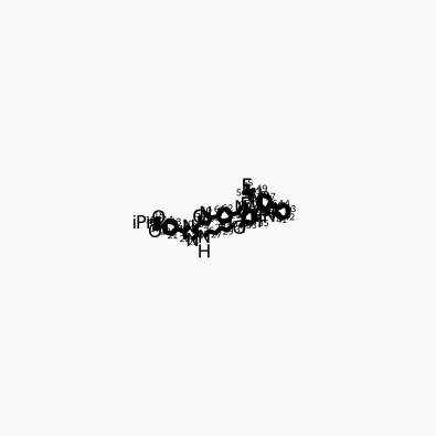 CNCc1ccc(-c2cc(-c3nc(-c4ccc(S(=O)(=O)C(C)C)cc4)cnc3NCCCCCOc3cc(F)c([C@@H]4c5[nH]c6ccccc6c5C[C@@H](C)N4CC(C)(C)F)c(F)c3)on2)cc1